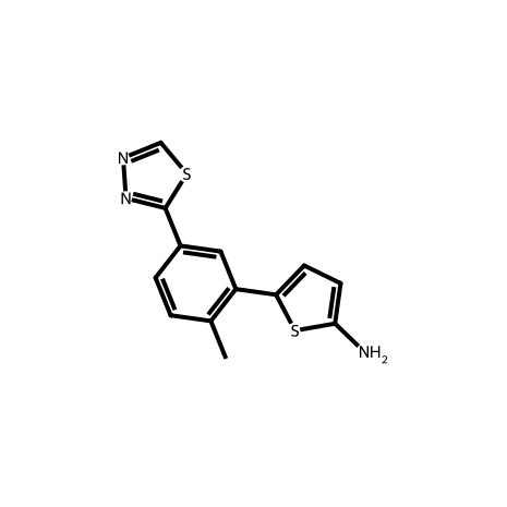 Cc1ccc(-c2nncs2)cc1-c1ccc(N)s1